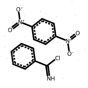 N=C(Cl)c1ccccc1.O=[N+]([O-])c1ccc([N+](=O)[O-])cc1